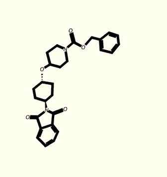 O=C(OCc1ccccc1)N1CCC(O[C@H]2CC[C@H](N3C(=O)c4ccccc4C3=O)CC2)CC1